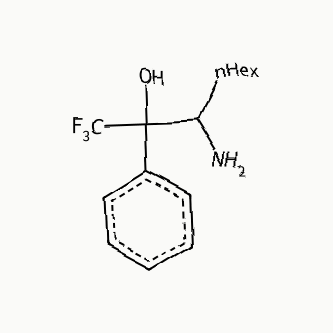 CCCCCCC(N)C(O)(c1ccccc1)C(F)(F)F